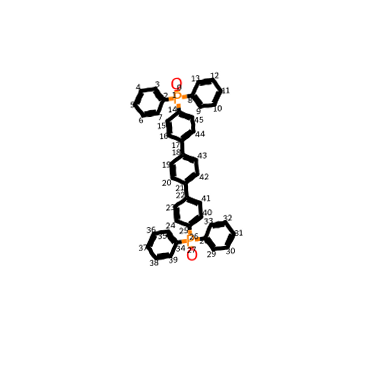 O=P(c1ccccc1)(c1ccccc1)c1ccc(-c2ccc(-c3ccc(P(=O)(c4ccccc4)c4ccccc4)cc3)cc2)cc1